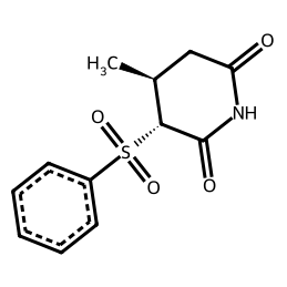 C[C@H]1CC(=O)NC(=O)[C@@H]1S(=O)(=O)c1ccccc1